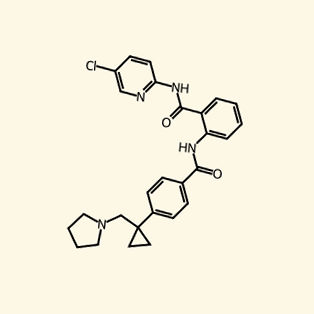 O=C(Nc1ccccc1C(=O)Nc1ccc(Cl)cn1)c1ccc(C2(CN3CCCC3)CC2)cc1